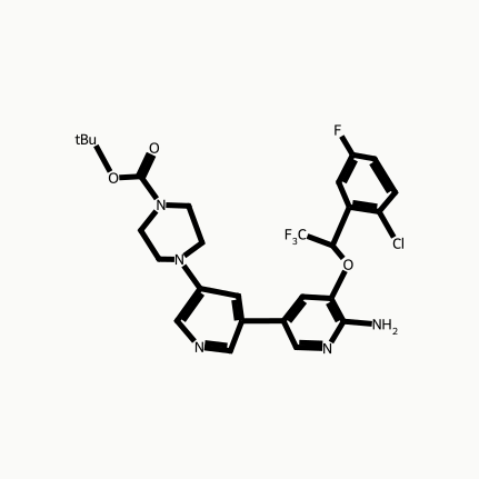 CC(C)(C)OC(=O)N1CCN(c2cncc(-c3cnc(N)c(OC(c4cc(F)ccc4Cl)C(F)(F)F)c3)c2)CC1